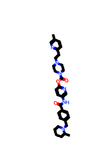 Cc1ccc(CCN2CCN(C(=O)Oc3ccc(NC(=O)c4ccc(CN5CCCCC5C)cc4)cn3)CC2)nc1